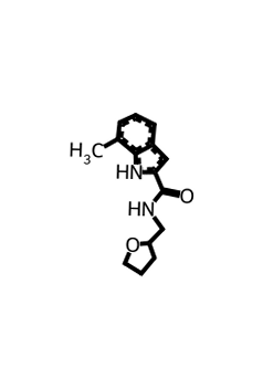 Cc1cccc2cc(C(=O)NCC3CCCO3)[nH]c12